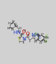 N[C@@H](CC(=O)N1CCSC1C(=O)NCc1cc[c]cc1)Cc1cc(F)c(F)cc1F